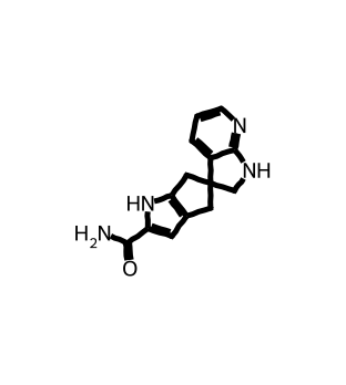 NC(=O)c1cc2c([nH]1)CC1(CNc3ncccc31)C2